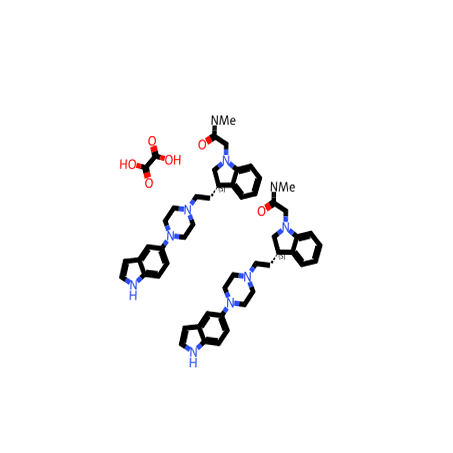 CNC(=O)CN1C[C@@H](CCN2CCN(c3ccc4[nH]ccc4c3)CC2)c2ccccc21.CNC(=O)CN1C[C@@H](CCN2CCN(c3ccc4[nH]ccc4c3)CC2)c2ccccc21.O=C(O)C(=O)O